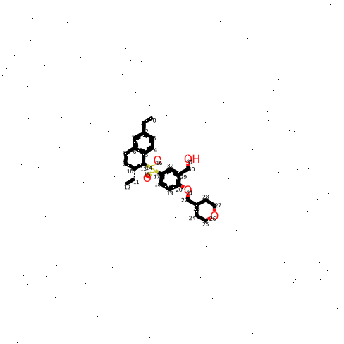 CCc1ccc2c(c1)CC[C@@H](CC)C2S(=O)(=O)c1ccc(OCC2CCOCC2)c(CO)c1